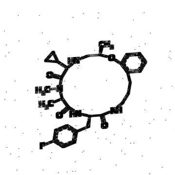 CC1C(=O)N[C@H](Cc2ccc(F)cc2)C(=O)NCCCc2ccccc2O[C@H](C)CNC(C2CC2)C(=O)N1C